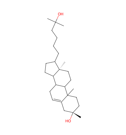 CC(C)(O)CCCCC1CCC2C3CC=C4C[C@@](C)(O)CCC4(C)C3CC[C@]12C